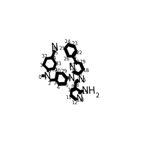 CN(Cc1ccc(-n2c(-c3cccnc3N)nc3ccc(-c4ccccc4)nc32)cc1)C1CCC(C#N)CC1